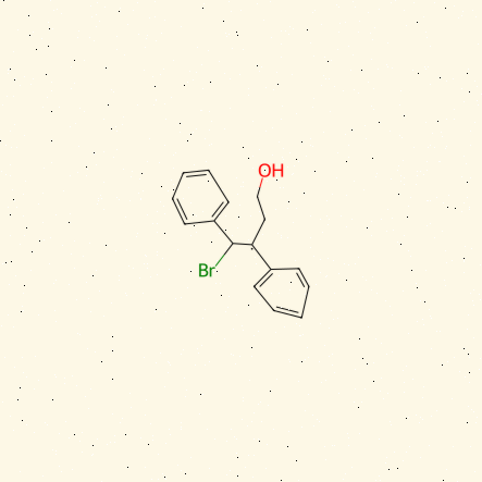 OCC[C](c1ccccc1)C(Br)c1ccccc1